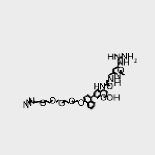 CC(=O)NC(CCCNC(=N)N)CNCC(=O)NC(CC(=O)O)c1ccc(-c2ccc(OCCOCCOCCOCCOCCN=[N+]=[N-])c3ccccc23)cc1